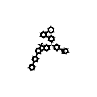 CC1(C)c2ccc(-c3ccc(-c4ccccc4)cc3)cc2-c2ccc(N(c3ccc(C4CC5CCC4C5)cc3)c3cccc(-c4ccccc4C4CCCCC4)c3)cc21